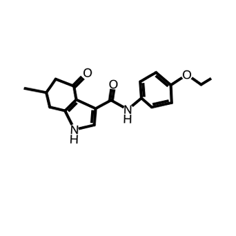 CCOc1ccc(NC(=O)c2c[nH]c3c2C(=O)CC(C)C3)cc1